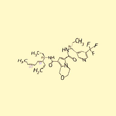 C=C/C(=C\C=C/C)[C@@H](CC)NC(=O)c1cc(C(=O)N[C@H](CC)c2cncc(C(F)(F)F)c2)n2c1COCC2